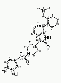 CN(C)Cc1ccccc1-c1cccc2c1[nH]c(=O)n2C1CCN(C(=O)Nc2ccc(Cl)c(Cl)c2)CC1